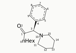 CCCCCCC(=O)[C@@H](c1ccccc1)N1CCCCC1